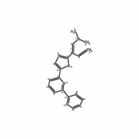 C=C/C(=C\N(C)C)c1ncc(-c2cccc(-c3ncccn3)n2)s1